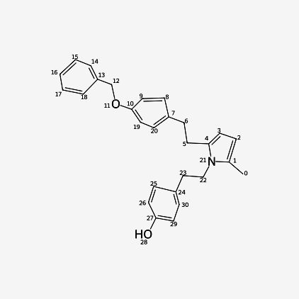 Cc1ccc(CCc2ccc(OCc3ccccc3)cc2)n1CCc1ccc(O)cc1